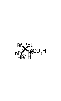 Br.CCCC(Br)(CC)NC(=O)O